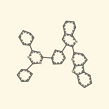 c1ccc(-c2nc(-c3ccccc3)nc(-c3cccc(-c4cc5ccccc5nc4-c4ccc5c(n4)sc4ccccc45)c3)n2)cc1